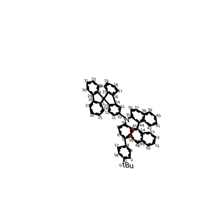 CC(C)(C)c1ccc(-c2ccc(N(c3ccc4c(c3)-c3ccccc3C43c4ccccc4-c4ccccc43)c3ccc4ccccc4c3-c3cccc4ccccc34)cc2)cc1